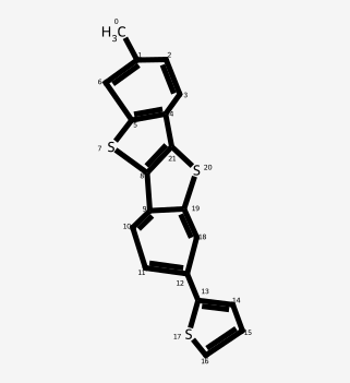 Cc1ccc2c(c1)sc1c3ccc(-c4cccs4)cc3sc21